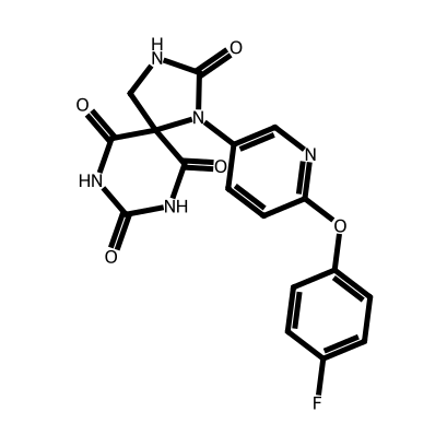 O=C1NC(=O)C2(CNC(=O)N2c2ccc(Oc3ccc(F)cc3)nc2)C(=O)N1